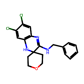 Clc1cc2c(cc1Cl)NC1(CCOCC1)C(NCc1ccccc1)=N2